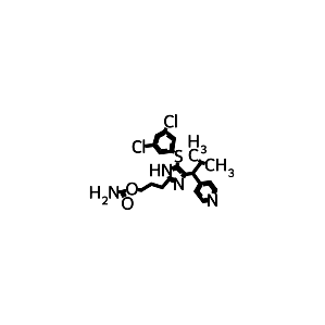 CC(C)C(c1ccncc1)c1nc(CCCOC(N)=O)[nH]c1Sc1cc(Cl)cc(Cl)c1